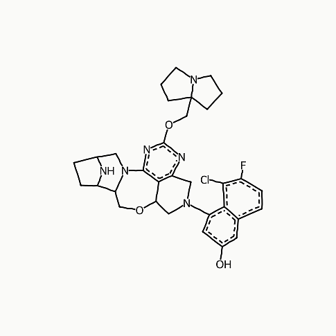 Oc1cc(N2Cc3nc(OCC45CCCN4CCC5)nc4c3C(C2)OCC2C3CCC(CN42)N3)c2c(Cl)c(F)ccc2c1